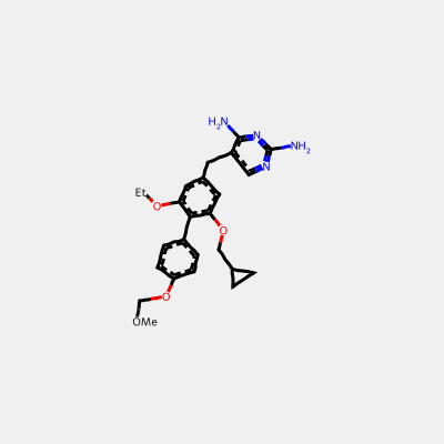 CCOc1cc(Cc2cnc(N)nc2N)cc(OCC2CC2)c1-c1ccc(OCOC)cc1